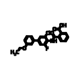 CCOc1cccc(-c2cc(F)c(NC(=O)c3ccccc3C(=O)O)c(Cl)c2)c1